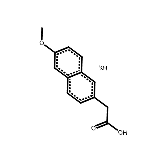 COc1ccc2cc(CC(=O)O)ccc2c1.[KH]